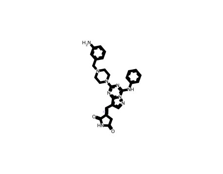 Nc1cccc(CN2CCN(c3nc(Nc4ccccc4)n4ncc(/C=C5\CC(=O)NC5=O)c4n3)CC2)c1